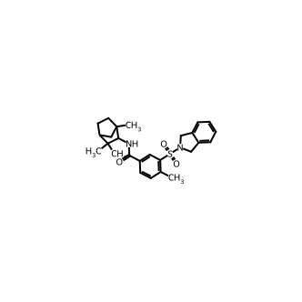 Cc1ccc(C(=O)NC2C3(C)CCC(C3)C2(C)C)cc1S(=O)(=O)N1Cc2ccccc2C1